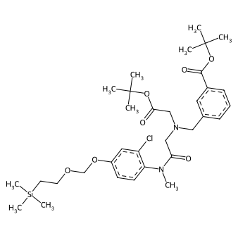 CN(C(=O)CN(CC(=O)OC(C)(C)C)Cc1cccc(C(=O)OC(C)(C)C)c1)c1ccc(OCOCC[Si](C)(C)C)cc1Cl